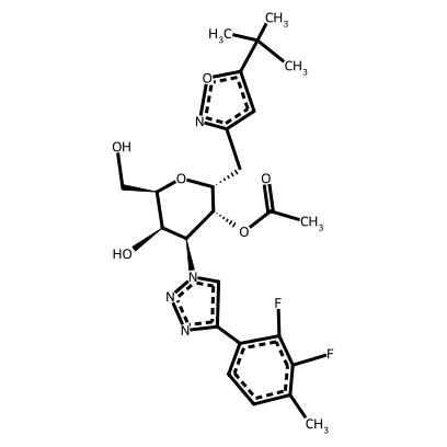 CC(=O)O[C@@H]1[C@@H](n2cc(-c3ccc(C)c(F)c3F)nn2)[C@@H](O)[C@@H](CO)O[C@@H]1Cc1cc(C(C)(C)C)on1